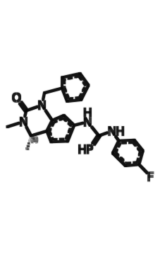 C[C@H]1c2ccc(NC(=P)Nc3ccc(F)cc3)cc2N(Cc2ccccc2)C(=O)N1C